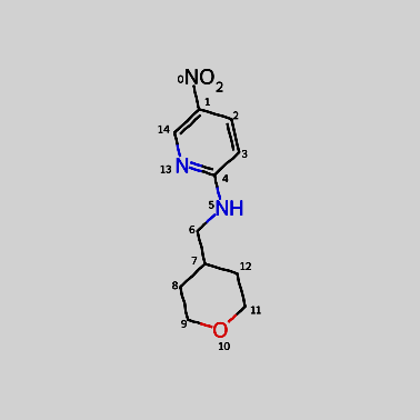 O=[N+]([O-])c1ccc(NCC2CCOCC2)nc1